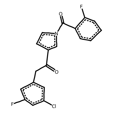 O=C(Cc1cc(F)cc(Cl)c1)c1ccn(C(=O)c2ccccc2F)c1